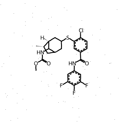 COC(=O)NC1C2CC(Sc3cc(C(=O)Nc4cc(F)c(F)c(F)c4)ccc3Cl)C[C@@H]1[C@@H](C)C2